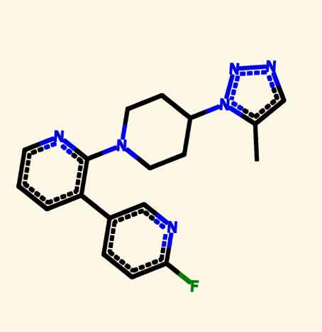 Cc1cnnn1C1CCN(c2ncccc2-c2ccc(F)nc2)CC1